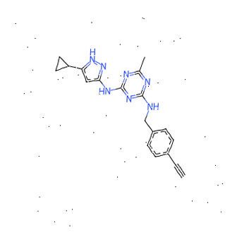 C#Cc1ccc(CNc2nc(C)nc(Nc3cc(C4CC4)[nH]n3)n2)cc1